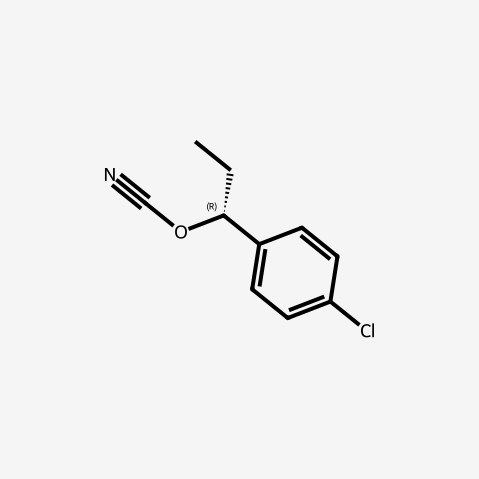 CC[C@@H](OC#N)c1ccc(Cl)cc1